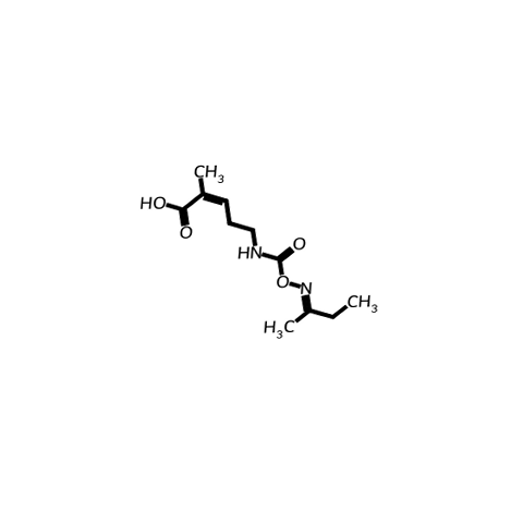 CCC(C)=NOC(=O)NCCC=C(C)C(=O)O